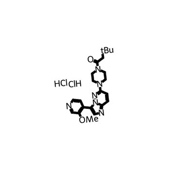 COc1cnccc1-c1cnc2ccc(N3CCN(C(=O)CC(C)(C)C)CC3)nn12.Cl.Cl